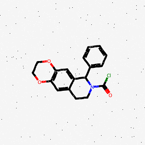 O=C(Cl)N1CCc2cc3c(cc2C1c1ccccc1)OCCO3